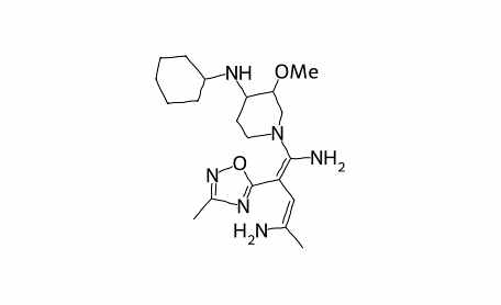 COC1CN(/C(N)=C(/C=C(/C)N)c2nc(C)no2)CCC1NC1CCCCC1